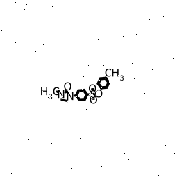 Cc1ccc(OS(=O)(=O)c2ccc(N3CCN(C)C3=O)cc2)cc1